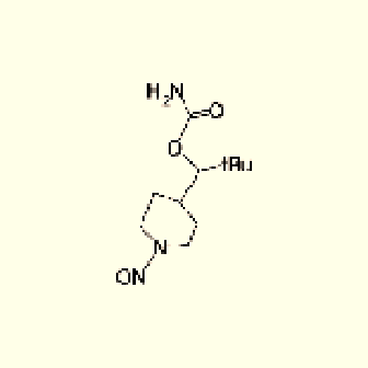 CC(C)(C)C(OC(N)=O)C1CCN(N=O)CC1